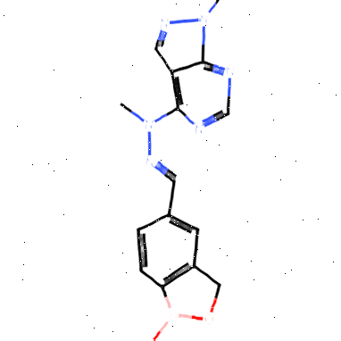 CN(/N=C/c1ccc2c(c1)COB2O)c1ncnc2c1cnn2C